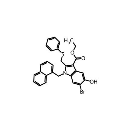 CCOC(=O)c1c(CSc2ccccc2)n(Cc2cccc3ccccc23)c2cc(Br)c(O)cc12